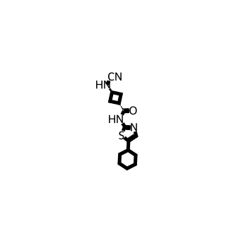 N#CN[C@H]1C[C@H](C(=O)Nc2ncc(C3CCCCC3)s2)C1